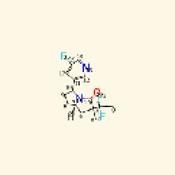 CC(F)(F)C1(C)C[C@@H]2CCC(c3cncc(F)c3)N2C1=O